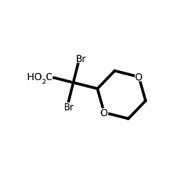 O=C(O)C(Br)(Br)C1COCCO1